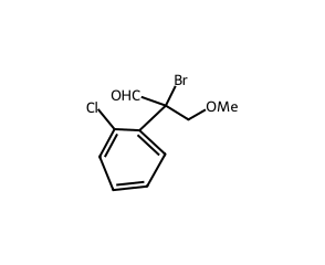 COCC(Br)(C=O)c1ccccc1Cl